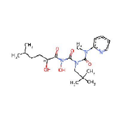 CC(C)CC[C@H](O)C(=O)N(O)C(=O)N(CC(C)(C)C)C(=O)N(C)c1ccccn1